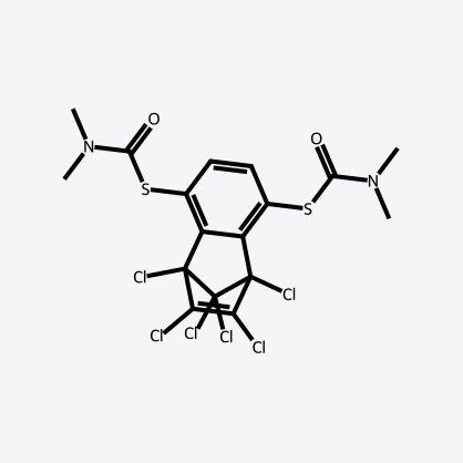 CN(C)C(=O)Sc1ccc(SC(=O)N(C)C)c2c1C1(Cl)C(Cl)=C(Cl)C2(Cl)C1(Cl)Cl